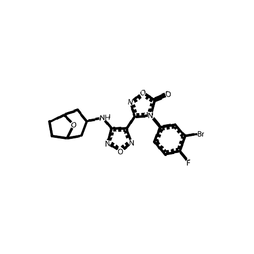 O=c1onc(-c2nonc2NC2CC3CCC(C2)O3)n1-c1ccc(F)c(Br)c1